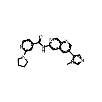 Cn1cncc1-c1cnc2cnc(NC(=O)c3ccnc(N4CCCC4)c3)cc2c1